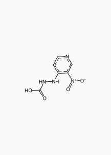 O=C(O)NNc1ccncc1[N+](=O)[O-]